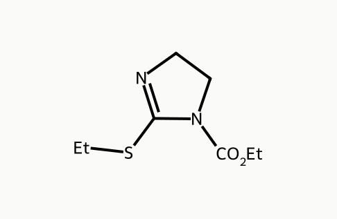 CCOC(=O)N1CCN=C1SCC